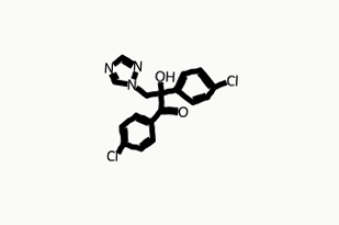 O=C(c1ccc(Cl)cc1)C(O)(Cn1cncn1)c1ccc(Cl)cc1